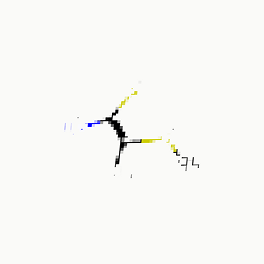 CS/C(C)=C(/N)S